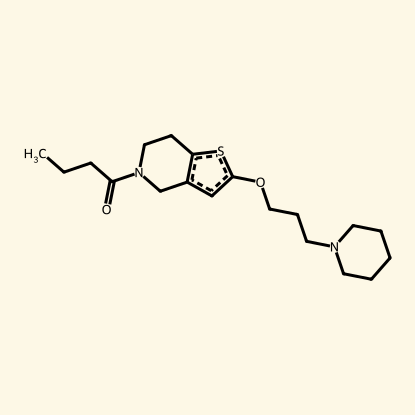 CCCC(=O)N1CCc2sc(OCCCN3CCCCC3)cc2C1